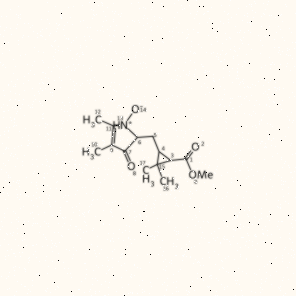 COC(=O)C1C(CC2C(=O)C(C)=C(C)[NH+]2[O-])C1(C)C